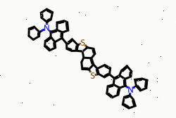 C1=CC(N(c2ccccc2)c2c3ccccc3c(-c3ccc4c(c3)SC3C=CC5=c6c(sc7cc(-c8c9ccccc9c(N(c9ccccc9)c9ccccc9)c9ccccc89)ccc67)=CCC5C43)c3ccccc23)=CCC1